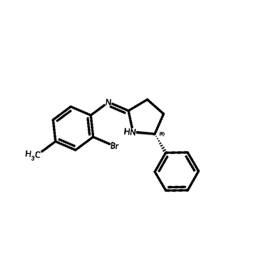 Cc1ccc(N=C2CC[C@H](c3ccccc3)N2)c(Br)c1